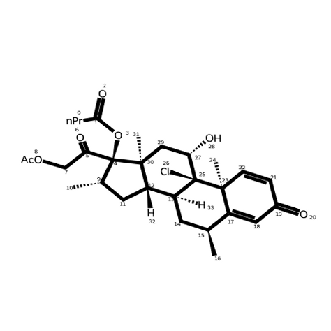 CCCC(=O)O[C@]1(C(=O)COC(C)=O)[C@@H](C)C[C@H]2[C@@H]3C[C@H](C)C4=CC(=O)C=C[C@]4(C)[C@@]3(Cl)[C@@H](O)C[C@@]21C